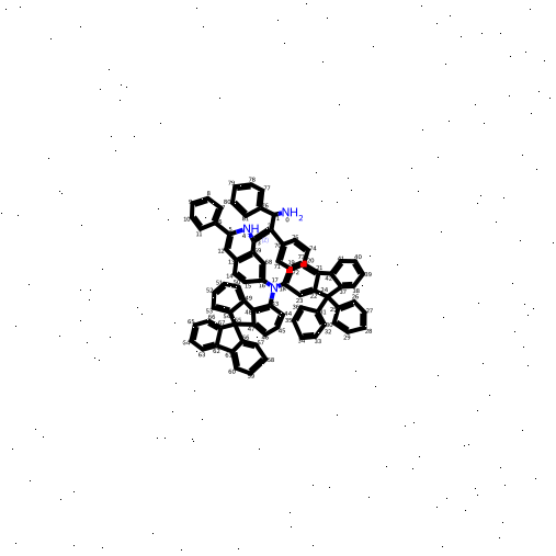 NC(/C(=C1\NC(c2ccccc2)=Cc2ccc(N(c3ccc4c(c3)C(c3ccccc3)(c3ccccc3)c3ccccc3-4)c3cccc4c3-c3ccccc3C43c4ccccc4-c4ccccc43)cc21)c1ccccc1)c1ccccc1